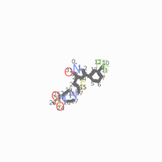 Cn1cc(-c2cccc(C(F)(F)F)c2)c2sc(CN3CCN(S(C)(=O)=O)CC3)cc2c1=O